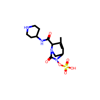 CC1=CC2CN(C(=O)N2OS(=O)(=O)O)C1C(=O)NC1CCNCC1